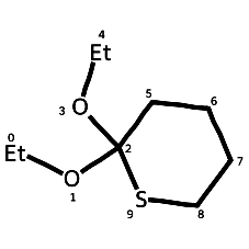 CCOC1(OCC)CCCCS1